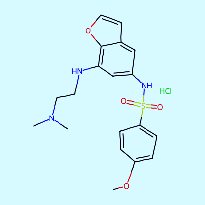 COc1ccc(S(=O)(=O)Nc2cc(NCCN(C)C)c3occc3c2)cc1.Cl